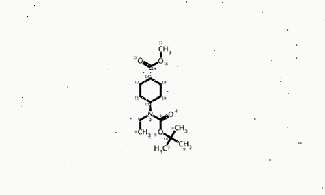 CCN(C(=O)OC(C)(C)C)[C@H]1CC[C@H](C(=O)OC)CC1